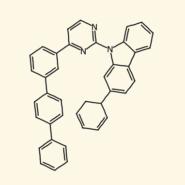 C1=CCC(c2ccc3c4ccccc4n(-c4nccc(-c5cccc(-c6ccc(-c7ccccc7)cc6)c5)n4)c3c2)C=C1